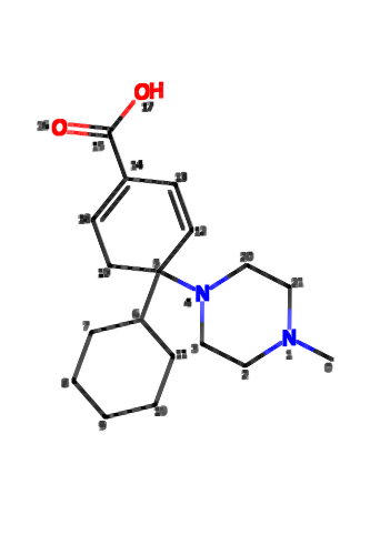 CN1CCN(C2(C3CCCCC3)C=CC(C(=O)O)=CC2)CC1